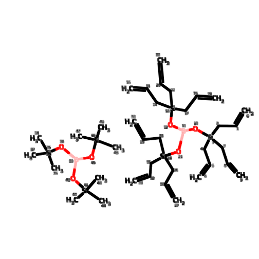 C=CC[Si](CC=C)(CC=C)OB(O[Si](CC=C)(CC=C)CC=C)O[Si](CC=C)(CC=C)CC=C.C[Si](C)(C)OB(O[Si](C)(C)C)O[Si](C)(C)C